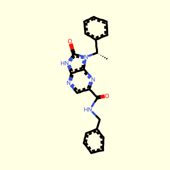 C[C@@H](c1ccccc1)n1c(=O)[nH]c2ncc(C(=O)NCc3ccccc3)nc21